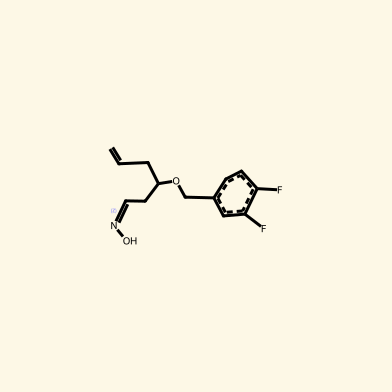 C=CCC(C/C=N\O)OCc1ccc(F)c(F)c1